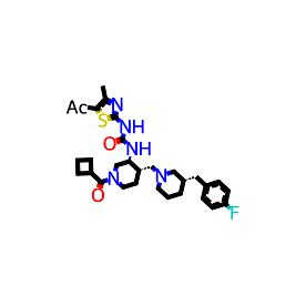 CC(=O)c1sc(NC(=O)N[C@H]2CN(C(=O)C3CCC3)CC[C@H]2CN2CCC[C@@H](Cc3ccc(F)cc3)C2)nc1C